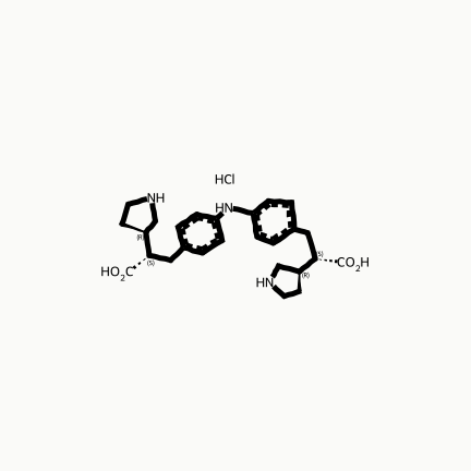 Cl.O=C(O)[C@@H](Cc1ccc(Nc2ccc(C[C@H](C(=O)O)[C@H]3CCNC3)cc2)cc1)[C@H]1CCNC1